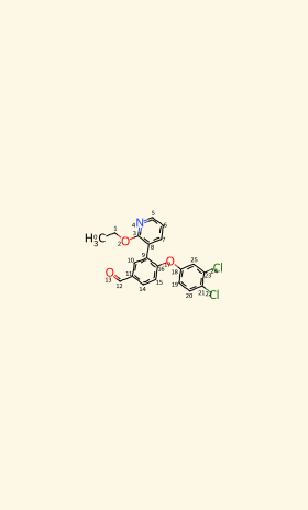 CCOc1ncccc1-c1cc(C=O)ccc1Oc1ccc(Cl)c(Cl)c1